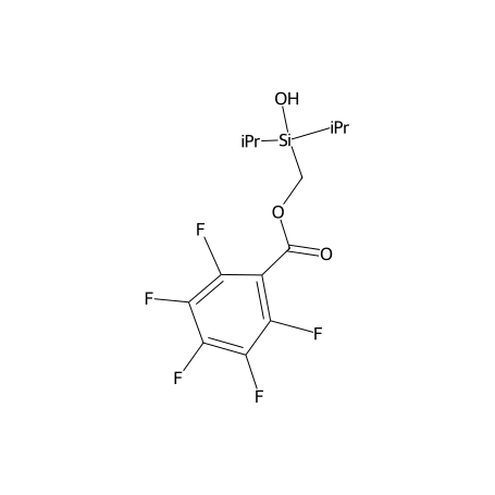 CC(C)[Si](O)(COC(=O)c1c(F)c(F)c(F)c(F)c1F)C(C)C